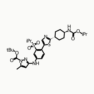 Cc1cc(Nc2ccc(-c3cnc([C@H]4CC[C@H](NC(=O)OC(C)C)CC4)s3)c(S(=O)(=O)C(C)C)c2)nn1C(=O)OC(C)(C)C